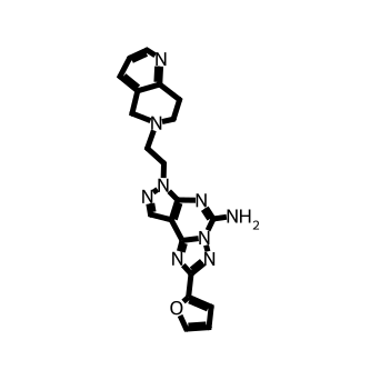 Nc1nc2c(cnn2CCN2CCc3ncccc3C2)c2nc(-c3ccco3)nn12